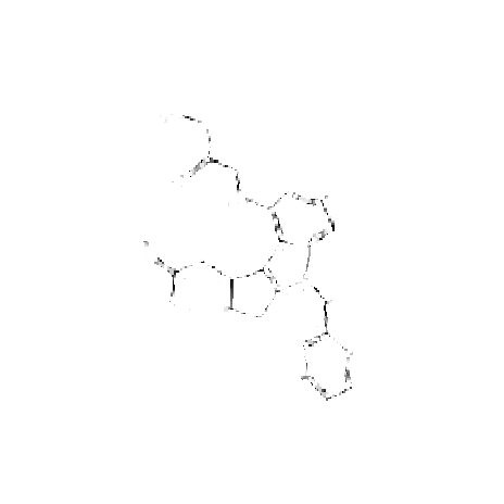 COC(=O)COc1cccc2c1c1c(n2Cc2ccccc2)CCC1CC(N)=O